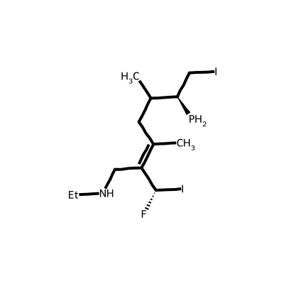 CCNC/C(=C(/C)CC(C)[C@H](P)CI)[C@@H](F)I